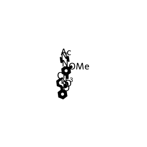 COc1cc(CN2C(C)CCC(c3ccccc3)S2(=O)=O)ccc1N1CCN(C(C)=O)CC1